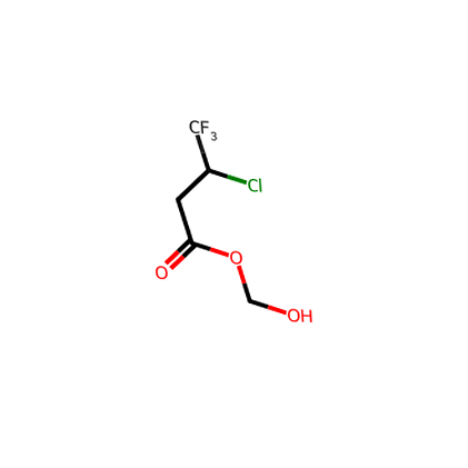 O=C(CC(Cl)C(F)(F)F)OCO